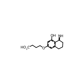 N=C1CCCc2cc(OCCCC(=O)O)cc(O)c21